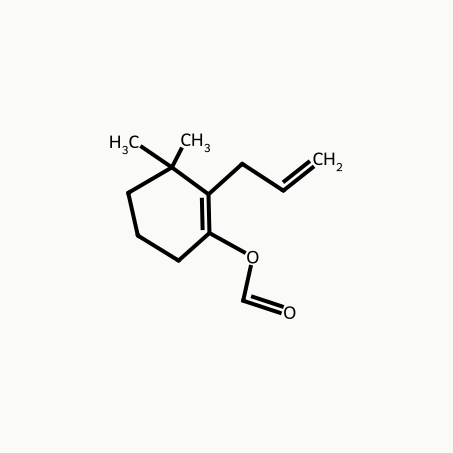 C=CCC1=C(OC=O)CCCC1(C)C